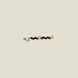 CCCCCOC=CCCC[O]